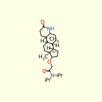 CC(C)N(C(=O)COC1CC[C@H]2[C@@H]3CCC4NC(=O)CC[C@]4(C)[C@@H]3CC[C@]12C)C(C)C